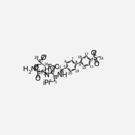 CC(C)C[C@H](N[C@@H](c1ccc(-c2ccc(S(C)(=O)=O)cc2)cc1)C(F)(F)F)C(=O)N[C@@H](CS(C)(=O)=O)C(N)=O